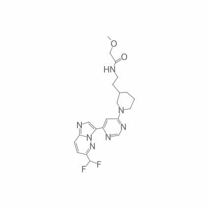 COCC(=O)NCCC1CCCN(c2cc(-c3cnc4ccc(C(F)F)nn34)ncn2)C1